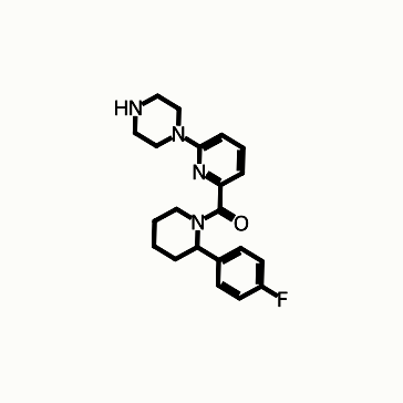 O=C(c1cccc(N2CCNCC2)n1)N1CCCCC1c1ccc(F)cc1